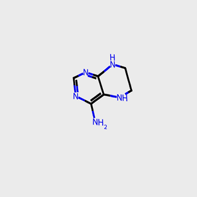 Nc1ncnc2c1NCCN2